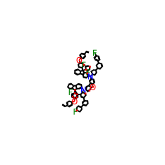 C=CC1=CCC(OC2=CCC(C34C5C=C(C=CC5C5C=CCCC53)N(C3=CC5c6cc(N(c7ccc8c(c7)C(C7=C(F)CCC=C7F)(C7CC=C(Oc9ccc(C=C)cc9)CC7)C7C=CC=CC87)C7CCC(C8=CC=CC(c9ccc(F)cc9)C8)CC7)ccc6OC5C=C3)C3C=CC(C5=CC(C6=CCC(F)CC6)=CCC5)=CC3C3=CC=CC(F)C34)C=C2)C=C1